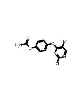 NC(=O)Oc1ccc(Oc2nc(Cl)ncc2Br)cc1